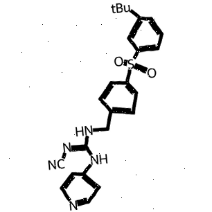 CC(C)(C)c1cccc(S(=O)(=O)c2ccc(CNC(=NC#N)Nc3ccncc3)cc2)c1